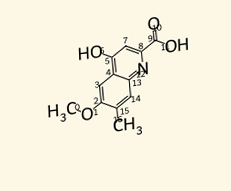 COc1cc2c(O)cc(C(=O)O)nc2cc1C